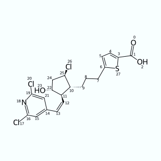 O=C(O)c1ccc(CCC[C@@H]2[C@@H](/C=C\c3cc(Cl)nc(Cl)c3)[C@H](O)C[C@H]2Cl)s1